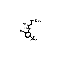 CCCCCCCCCC[C](C)C=C(C#N)S(=O)(=O)c1cc(C(C)(C)CC(C)(C)C)ccc1CCCC